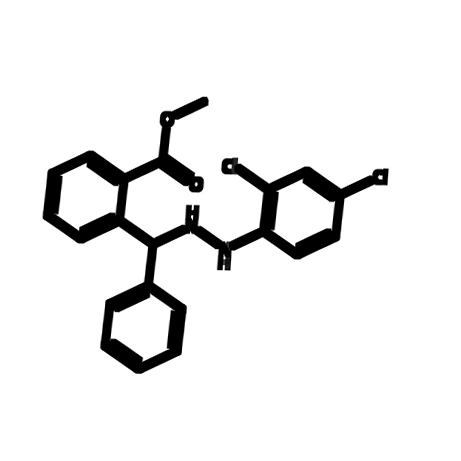 COC(=O)c1ccccc1C(NNc1ccc(Cl)cc1Cl)c1ccccc1